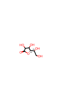 O=C1O[C@@H]([C@@H](O)CO)C(O)C1O